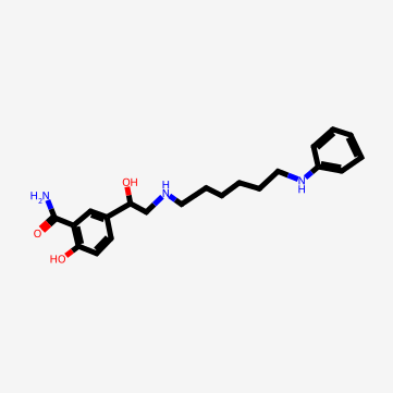 NC(=O)c1cc(C(O)CNCCCCCCNc2ccccc2)ccc1O